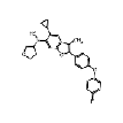 CC1c2cc(C3CC3)c(N(S)C3CCOC3)cc2OC1c1ccc(Oc2ccc(F)cc2)cc1